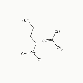 CC(=O)O.CCC[CH2][Sn]([Cl])[Cl]